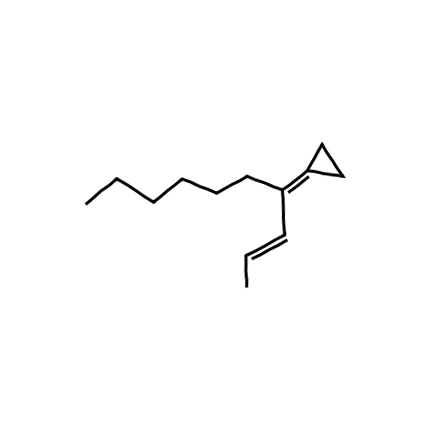 CC=CC(CCCCCC)=C1CC1